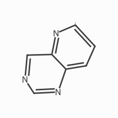 [c]1ccc2ncncc2n1